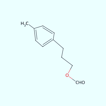 Cc1ccc(CCCOC=O)cc1